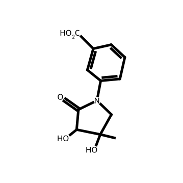 CC1(O)CN(c2cccc(C(=O)O)c2)C(=O)C1O